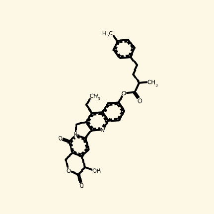 CCc1c2c(nc3ccc(OC(=O)C(C)CCc4ccc(C)cc4)cc13)-c1cc3c(c(=O)n1C2)COC(=O)C3O